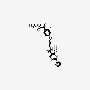 C=C(C(=O)OC)c1ccc(OCCCNC(=O)c2cnc(-n3cccn3)nc2O)cc1